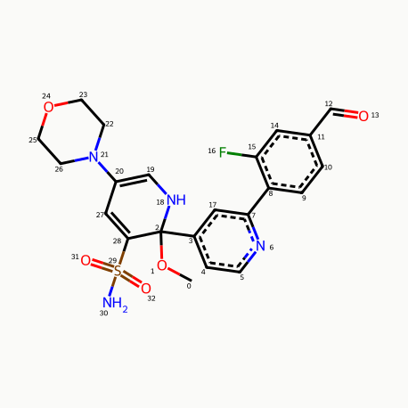 COC1(c2ccnc(-c3ccc(C=O)cc3F)c2)NC=C(N2CCOCC2)C=C1S(N)(=O)=O